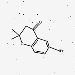 CC(C)c1ccc2c(c1)C(=O)CC(C)(C)O2